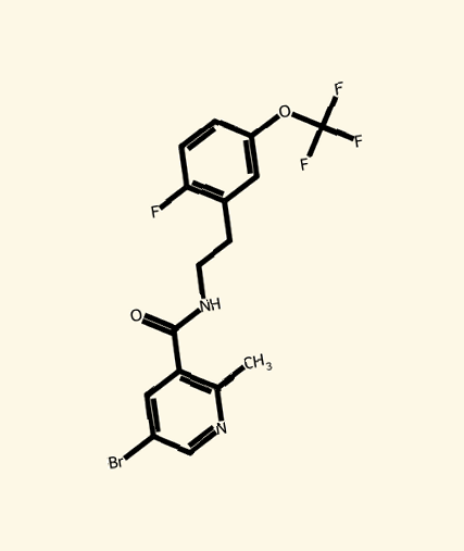 Cc1ncc(Br)cc1C(=O)NCCc1cc(OC(F)(F)F)ccc1F